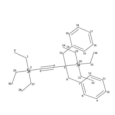 CC[Si](C#CC(Cc1ccccc1)(Cc1ccccc1)[Si](CC)(CC)CC)(CC)CC